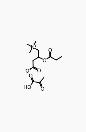 CC(=O)C(=O)O.CCC(=O)OC(CC(=O)[O-])C[N+](C)(C)C